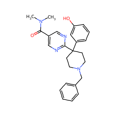 CN(C)C(=O)c1cnc(C2(c3cccc(O)c3)CCN(Cc3ccccc3)CC2)nc1